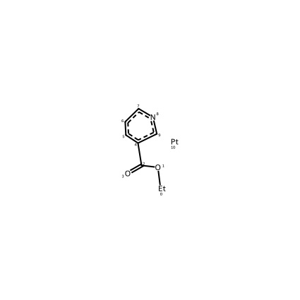 CCOC(=O)c1cccnc1.[Pt]